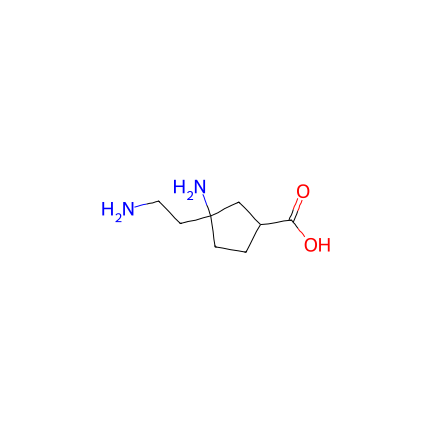 NCCC1(N)CCC(C(=O)O)C1